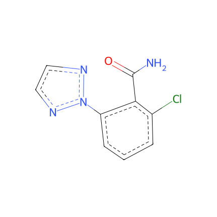 NC(=O)c1c(Cl)cccc1-n1nccn1